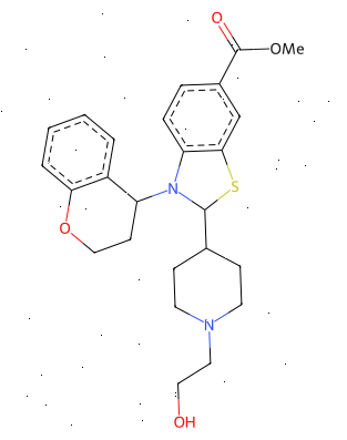 COC(=O)c1ccc2c(c1)SC(C1CCN(CCO)CC1)N2C1CCOc2ccccc21